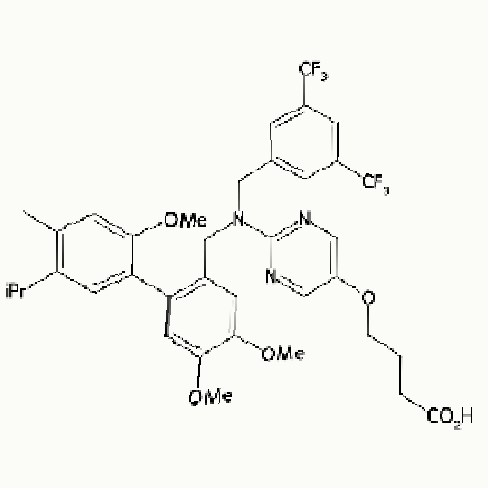 COc1cc(CN(Cc2cc(C(F)(F)F)cc(C(F)(F)F)c2)c2ncc(OCCCC(=O)O)cn2)c(-c2cc(C(C)C)c(C)cc2OC)cc1OC